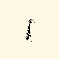 C=CC(=O)OCCCCOc1ccc(C(=O)Oc2ccc(/C=C(\C#N)C(=O)O[C@H]3CCC4C3OC[C@H]4C)cc2)cc1